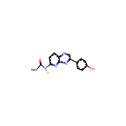 CNC(=O)N(S)c1ccc2ncc(-c3ccc(O)cc3)nc2n1